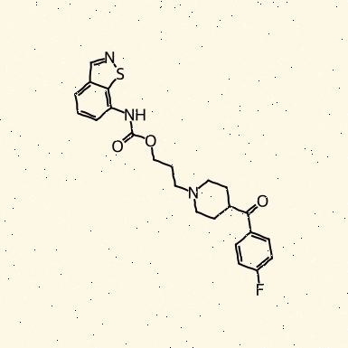 O=C(Nc1cccc2cnsc12)OCCCN1CCC(C(=O)c2ccc(F)cc2)CC1